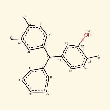 Cc1ccc(C(c2ccccc2)c2ccc(C)c(O)c2)cc1C